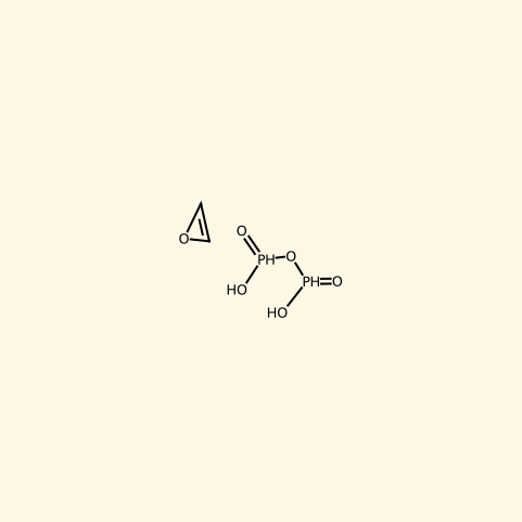 C1=CO1.O=[PH](O)O[PH](=O)O